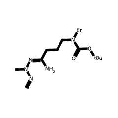 C=NN(C)/N=C(\N)CCCN(CC)C(=O)OC(C)(C)C